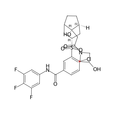 O=C(Nc1cc(F)c(F)c(F)c1)c1ccc(Cl)c(S(=O)(=O)[C@@H]2CC3CC[C@@H](C2)[C@@]3(O)CC(=O)N2CC(O)C2)c1